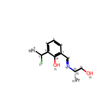 CCCC(F)c1cccc(C=N[C@H](CO)C(C)C)c1O